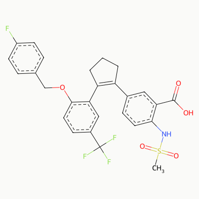 CS(=O)(=O)Nc1ccc(C2=C(c3cc(C(F)(F)F)ccc3OCc3ccc(F)cc3)CCC2)cc1C(=O)O